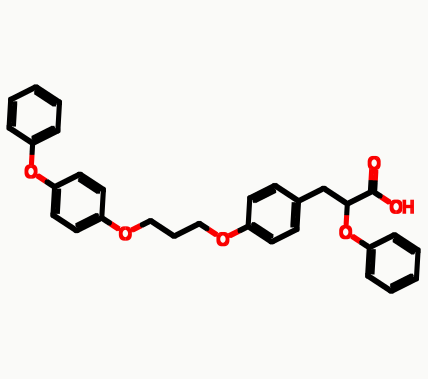 O=C(O)C(Cc1ccc(OCCCOc2ccc(Oc3ccccc3)cc2)cc1)Oc1ccccc1